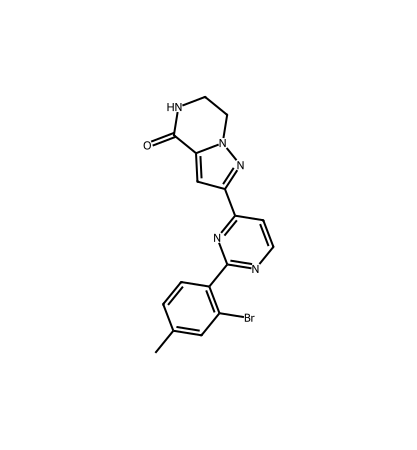 Cc1ccc(-c2nccc(-c3cc4n(n3)CCNC4=O)n2)c(Br)c1